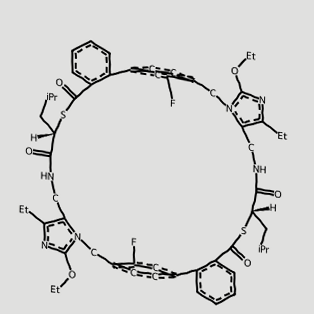 CCOc1nc(CC)c2n1Cc1ccc(cc1F)-c1ccccc1C(=O)S[C@@H](CC(C)C)C(=O)NCc1c(CC)nc(OCC)n1Cc1ccc(cc1F)-c1ccccc1C(=O)S[C@@H](CC(C)C)C(=O)NC2